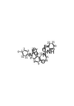 Cc1ccc(N(Cc2ccc3c(c2)CN(C(=O)Nc2ccccc2F)CCO3)C(=O)C(C)C)cc1